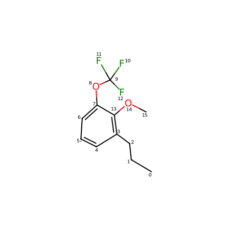 CCCc1c[c]cc(OC(F)(F)F)c1OC